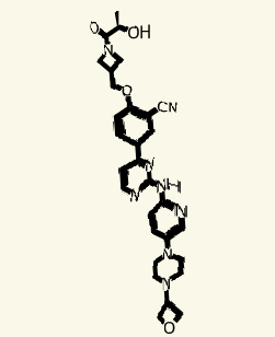 C[C@@H](O)C(=O)N1CC(COc2ccc(-c3ccnc(Nc4ccc(N5CCN(C6COC6)CC5)cn4)n3)cc2C#N)C1